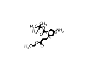 CCOC(=O)CC[C@@H]1C[C@H](N)CN1C(=O)OC(C)(C)C